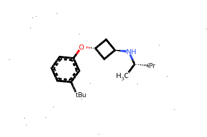 CC(C)[C@H](C)N[C@H]1C[C@H](Oc2cccc(C(C)(C)C)c2)C1